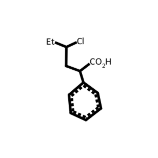 CCC(Cl)CC(C(=O)O)c1ccccc1